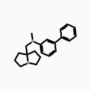 CN(CC12CCCN1CCC2)c1cccc(-c2ccccc2)c1